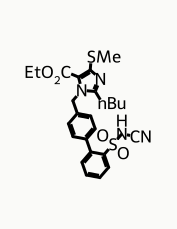 CCCCc1nc(SC)c(C(=O)OCC)n1Cc1ccc(-c2ccccc2S(=O)(=O)NC#N)cc1